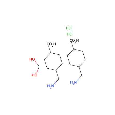 Cl.Cl.NCC1CCC(C(=O)O)CC1.NCC1CCC(C(=O)O)CC1.OCO